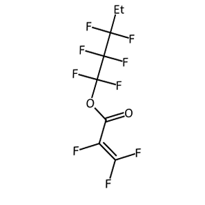 CCC(F)(F)C(F)(F)C(F)(F)OC(=O)C(F)=C(F)F